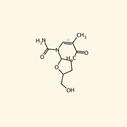 CC(=O)/C(C)=C\N(C(N)=O)C1CCC(CO)O1